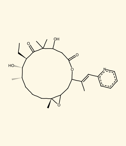 CC[C@H]1C(=O)C(C)(C)C(O)CC(=O)OC(C(C)=Cc2ccccn2)CC2O[C@]2(C)CCC[C@H](C)[C@@H]1O